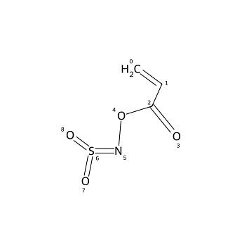 C=CC(=O)ON=S(=O)=O